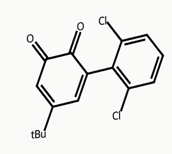 CC(C)(C)C1=CC(=O)C(=O)C(c2c(Cl)cccc2Cl)=C1